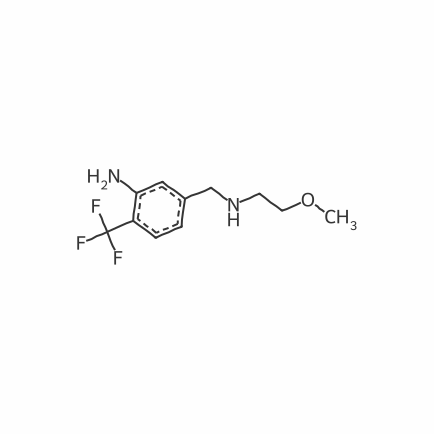 COCCNCc1ccc(C(F)(F)F)c(N)c1